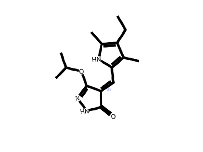 CCc1c(C)[nH]c(/C=C2/C(=O)NN=C2OC(C)C)c1C